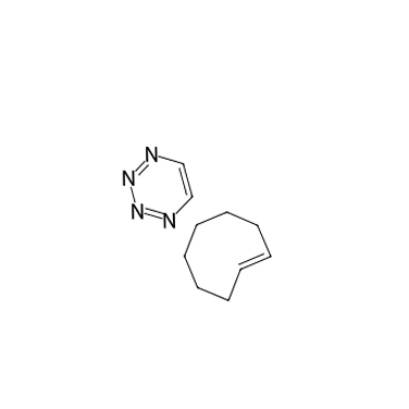 C1=C/CCCCCC/1.c1cnnnn1